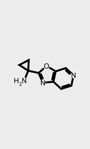 NC1(c2nc3ccncc3o2)CC1